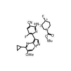 COc1cn2ncc(-c3nc(N[C@H]4CN(C(=O)OC(C)(C)C)CC[C@@H]4F)c(C#N)cc3F)c2nc1C1CC1